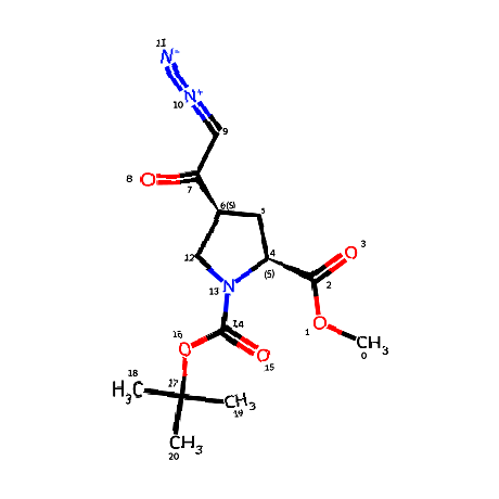 COC(=O)[C@@H]1C[C@H](C(=O)C=[N+]=[N-])CN1C(=O)OC(C)(C)C